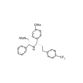 CNC[C@H](N[C@@H](CCc1ccc(C(F)(F)F)cc1)c1ccc(OC)cc1)c1ccccc1